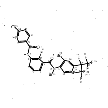 O=C(Nc1cccc(C(=O)N(Br)c2ccc(C(F)(C(F)(F)F)C(F)(F)F)cc2Br)c1F)c1ccc(Cl)nc1